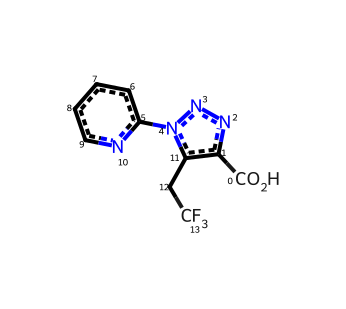 O=C(O)c1nnn(-c2ccccn2)c1CC(F)(F)F